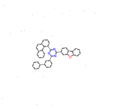 c1ccc(-c2cccc(-c3nc(-c4ccc5c(c4)oc4ccccc45)nc(-c4cccc5ccc6ccccc6c45)n3)c2)cc1